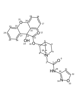 O=C(C[N+]12CCC(CC1)C(OC(=O)C1(O)c3ccccc3Oc3ccccc31)C2)Nc1ccon1